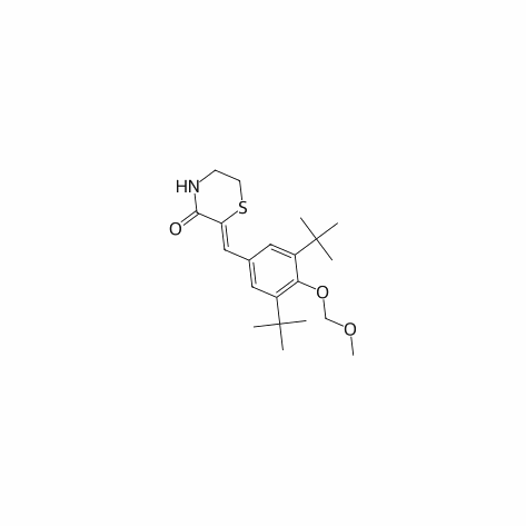 COCOc1c(C(C)(C)C)cc(C=C2SCCNC2=O)cc1C(C)(C)C